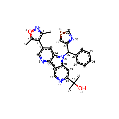 Cc1noc(C)c1-c1cnc2c3cnc(C(C)(C)O)cc3n(C(c3ccccc3)c3cscn3)c2c1